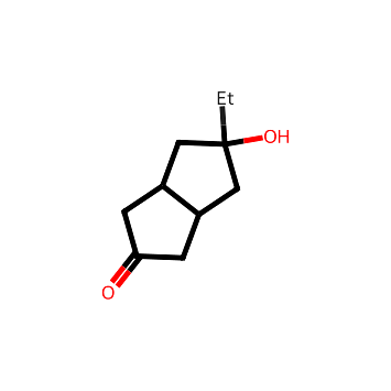 CCC1(O)CC2CC(=O)CC2C1